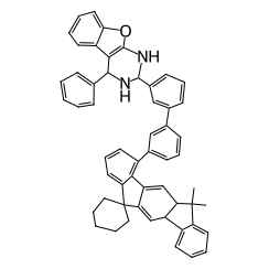 CC1(C)c2ccccc2C2C=C3C(=CC21)c1c(-c2cccc(-c4cccc(C5Nc6oc7ccccc7c6C(c6ccccc6)N5)c4)c2)cccc1C31CCCCC1